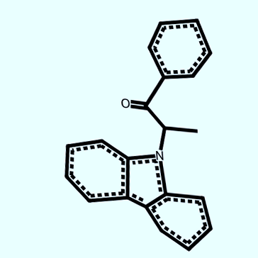 CC(C(=O)c1ccccc1)n1c2ccccc2c2ccccc21